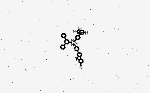 CC1(C)c2cc(C#N)ccc2-c2ccc(-c3ccc(-c4nc(-c5ccc(C67C[C@H]8C[C@H](C6)C[C@@H](C7)C8)cc5)nc(-c5cc(-c6ccccc6)cc(-c6ccccc6)c5)n4)cc3)cc21